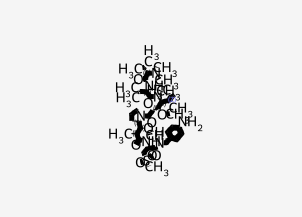 C/C=C(/C)[C@@H]([C@@H](CC(=O)N1CCC[C@H]1[C@H](OC)[C@@H](C)C(=O)NC(CS(C)(=O)=O)C(=O)NCc1ccc(N)cc1)OC)N(C)C(=O)[C@@H](NC(=O)[C@H](C(C)C)N(C)C)C(C)C